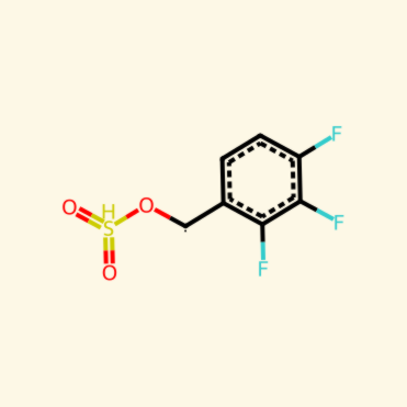 O=[SH](=O)O[CH]c1ccc(F)c(F)c1F